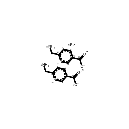 NCc1ccc(C(=O)[O-])cn1.NCc1ccc(C(=O)[O-])cn1.[Pt+2]